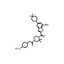 CC1(C)CCC(c2cc(C(C)(C)C)c3oc(C(=O)N4CCN(C(=O)CC5CCC(C(=O)O)CC5)CC4(C)C)cc3n2)CC1